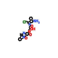 COc1cc2c(cc1OCC(O)CC(=O)N1C[C@@H](CCl)c3c1cc(N)c1ccccc31)N=C[C@@H]1Cc3ccccc3CN1C2=O